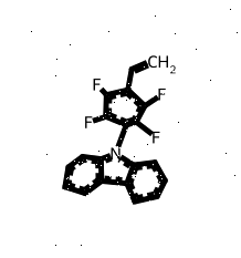 C=Cc1c(F)c(F)c(-n2c3ccccc3c3ccccc32)c(F)c1F